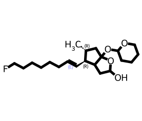 C[C@@H]1CC2(OC3CCCCO3)OC(O)CC2[C@H]1/C=C/CCCCCCF